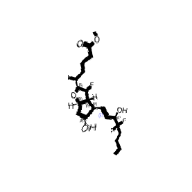 CCCCC(F)(F)[C@H](O)/C=C/[C@@H]1[C@H]2C(F)[C@H](C(I)CCCC(=O)OC)O[C@@H]2C[C@H]1O